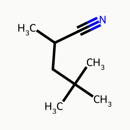 CC(C#N)CC(C)(C)C